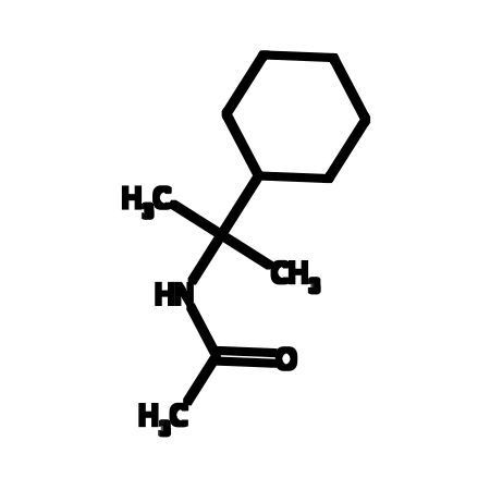 CC(=O)NC(C)(C)C1CCCCC1